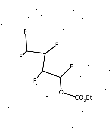 CCOC(=O)OC(F)C(F)C(F)C(F)F